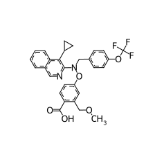 COCc1cc(ON(Cc2ccc(OC(F)(F)F)cc2)c2ncc3ccccc3c2C2CC2)ccc1C(=O)O